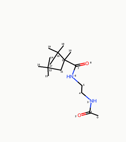 CC(=O)NCCNC(=O)C(C)(CC(C)(C)C)C(C)(C)C